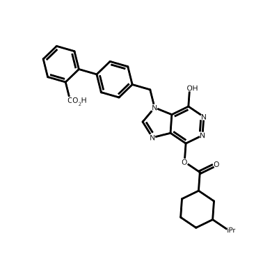 CC(C)C1CCCC(C(=O)Oc2nnc(O)c3c2ncn3Cc2ccc(-c3ccccc3C(=O)O)cc2)C1